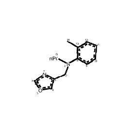 CCCN(Cc1cocn1)c1ccccc1C